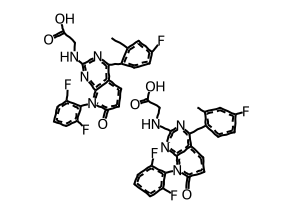 Cc1cc(F)ccc1-c1nc(NCC(=O)O)nc2c1ccc(=O)n2-c1c(F)cccc1F.Cc1cc(F)ccc1-c1nc(NCC(=O)O)nc2c1ccc(=O)n2-c1c(F)cccc1F